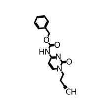 C#CCCn1ccc(NC(=O)OCc2ccccc2)nc1=O